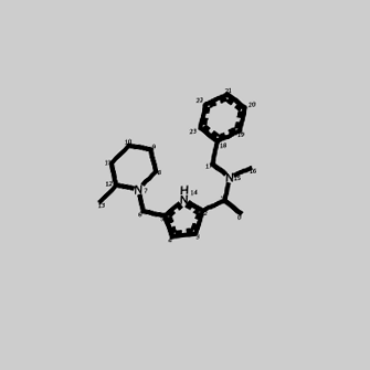 CC(c1ccc(CN2CCCCC2C)[nH]1)N(C)Cc1ccccc1